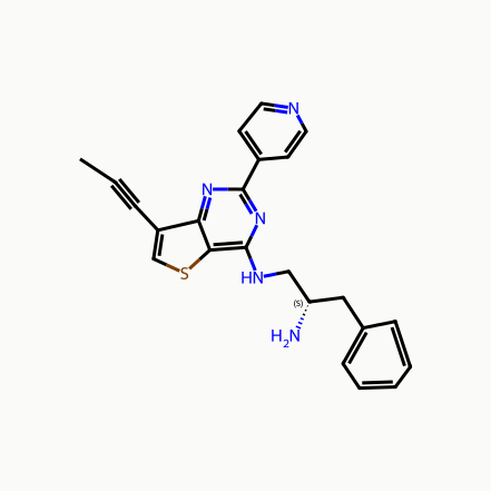 CC#Cc1csc2c(NC[C@@H](N)Cc3ccccc3)nc(-c3ccncc3)nc12